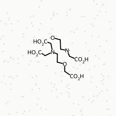 O=C(O)COCCN(CC(=O)O)CC(=O)O.[O]CC[N]CC(=O)O